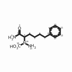 NC(=O)C(CCCCc1ccccc1)N(N)C(=O)O